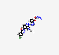 CN(C)CC(Nc1ncnc2c(OC(N)=O)cccc12)c1cccc(NC(=O)c2ccc(Br)cc2)c1